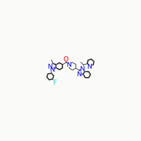 Cc1nn(-c2cccc(F)c2)c2ccc(C(=O)N3CCC(c4nc5ccccc5n4C(C)c4ccccn4)CC3)cc12